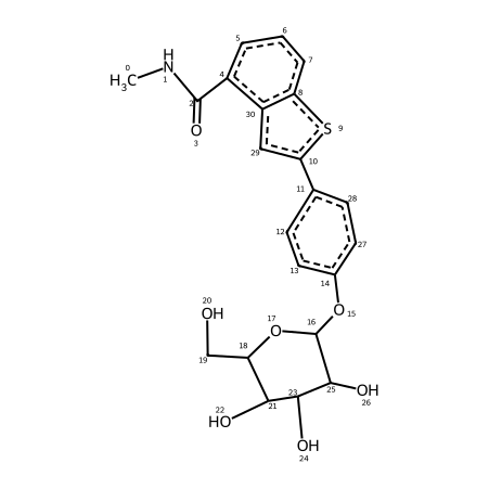 CNC(=O)c1cccc2sc(-c3ccc(OC4OC(CO)C(O)C(O)C4O)cc3)cc12